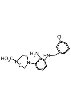 Nc1c(NCc2cccc(Cl)c2)cccc1N1CCN(C(=O)O)CC1